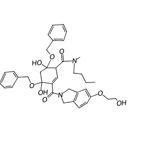 CCCCN(C)C(=O)C1C=C(C(=O)N2Cc3ccc(OCCO)cc3C2)C(O)(OCc2ccccc2)CC1(O)OCc1ccccc1